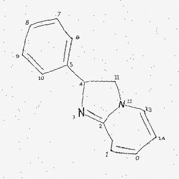 C1=CC2=NC(c3ccccc3)CN2C=C1